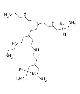 CCC(CC)(CN)CNCCN(CCNCCN)CCN(CCNCCN)CCNCCN(CCN)CC(CC)(CC)CN